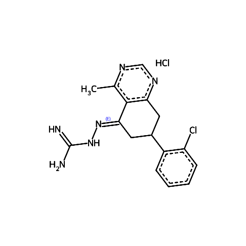 Cc1ncnc2c1/C(=N/NC(=N)N)CC(c1ccccc1Cl)C2.Cl